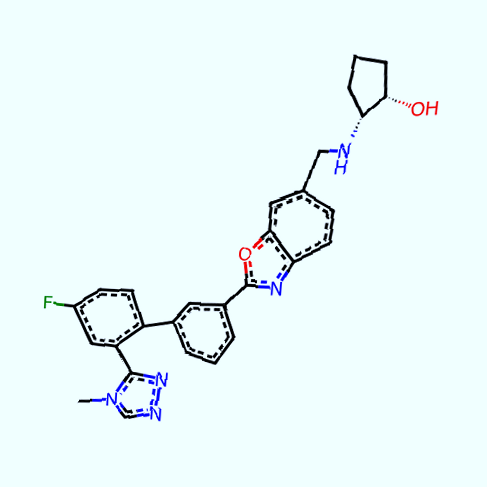 Cn1cnnc1-c1cc(F)ccc1-c1cccc(-c2nc3ccc(CN[C@@H]4CCC[C@@H]4O)cc3o2)c1